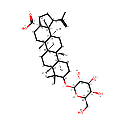 C=C(C)[C@@H]1CC[C@]2(C(=O)O)CC[C@]3(C)[C@H](CC[C@@H]4[C@@]5(C)CCC(O[C@@H]6O[C@H](CO)[C@H](O)[C@H](O)[C@H]6O)C(C)(C)[C@@H]5CC[C@]43C)[C@@H]12